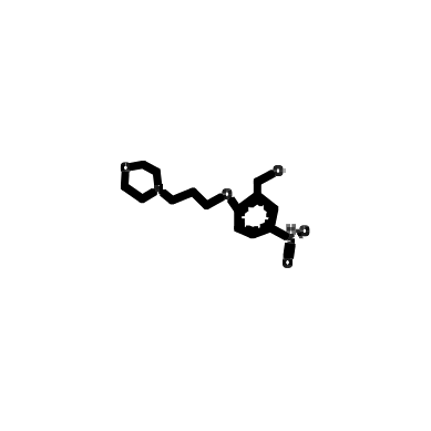 [O]Cc1cc([SH](=O)=O)ccc1OCCCN1CCOCC1